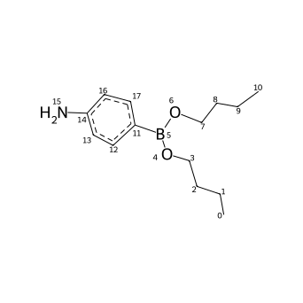 CCCCOB(OCCCC)c1ccc(N)cc1